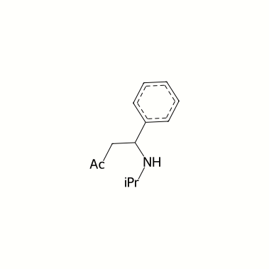 CC(=O)CC(NC(C)C)c1ccccc1